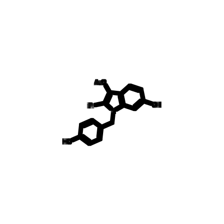 CC(=O)Oc1c(C(C)C)n(Cc2ccc(O)cc2)c2cc(O)ccc12